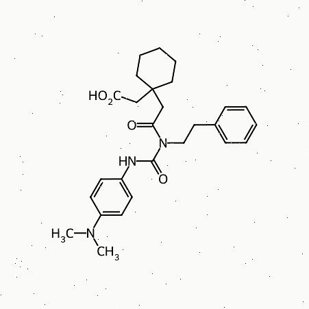 CN(C)c1ccc(NC(=O)N(CCc2ccccc2)C(=O)CC2(CC(=O)O)CCCCC2)cc1